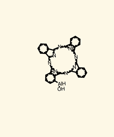 [OH][AlH][c]1cccc2c3nc4nc(nc5[nH]c(nc6nc(nc([nH]3)c12)-c1ccccc1-6)c1ccccc51)-c1ccccc1-4